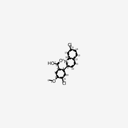 COc1cc(C(=O)O)c(-c2ccc3ccc(Cl)cc3n2)cc1Cl